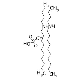 CCCCCCCCCCNCCCC.CCCCCCCCCCNCCCC.O=S(=O)(O)O